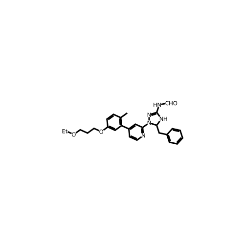 CCOCCCOc1ccc(C)c(-c2ccnc(N3N=C(NC=O)NC3Cc3ccccc3)c2)c1